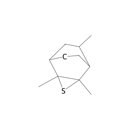 CC1CC2CCC1C1(C)SC21C